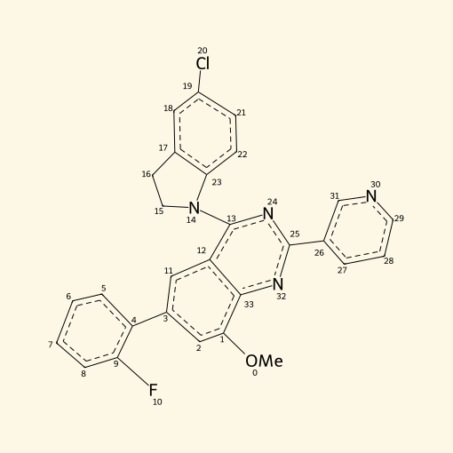 COc1cc(-c2ccccc2F)cc2c(N3CCc4cc(Cl)ccc43)nc(-c3cccnc3)nc12